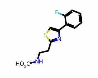 O=C(O)NCCc1nc(-c2ccccc2F)cs1